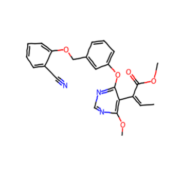 CC=C(C(=O)OC)c1c(OC)ncnc1Oc1cccc(COc2ccccc2C#N)c1